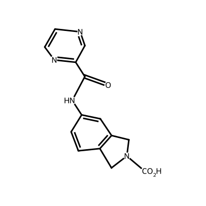 O=C(Nc1ccc2c(c1)CN(C(=O)O)C2)c1cnccn1